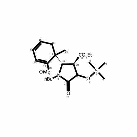 CCCCN1C(=O)C(O[Si](C)(C)C)[C@H](C(=O)OCC)[C@H]1C1(C)CC=CC=C1OC